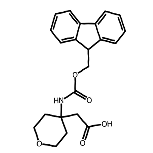 O=C(O)CC1(NC(=O)OCC2c3ccccc3-c3ccccc32)CCOCC1